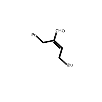 CCC(C)CC=C(C=O)CC(C)C